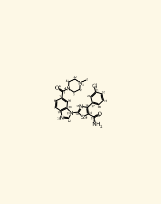 CN1CCN(C(=O)c2ccc3ncn(-c4nc(-c5cccc(Cl)c5)c(C(N)=O)s4)c3c2)CC1